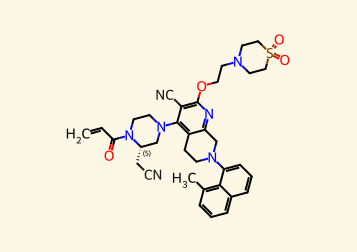 C=CC(=O)N1CCN(c2c(C#N)c(OCCN3CCS(=O)(=O)CC3)nc3c2CCN(c2cccc4cccc(C)c24)C3)C[C@@H]1CC#N